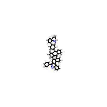 c1ccc(-c2nc3ccccc3c3c2ccc2c(-c4c5ccccc5c(-c5ccc(-c6cccc7cccnc67)cc5)c5ccccc45)cccc23)cc1